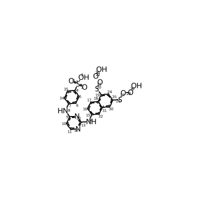 O=S(=O)(O)c1ccc(Nc2ccnc(Nc3ccc4c(SOOO)cc(SOOO)cc4c3)n2)cc1